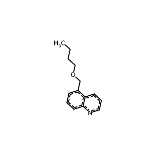 CCCCOCc1cc[c]c2ncccc12